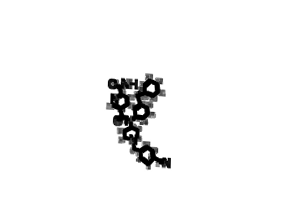 N#Cc1ccc(CN2CCC(N(C(=O)c3ccc(C(N)=O)nc3)c3cccc(Cc4ccccc4)c3)CC2)cc1